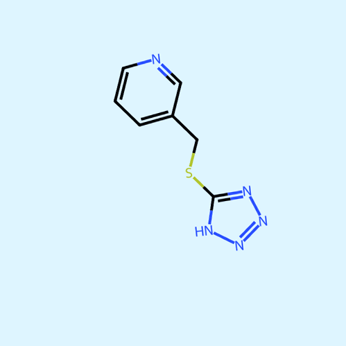 c1cncc(CSc2nnn[nH]2)c1